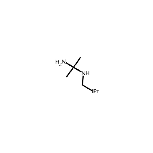 CC(C)CNC(C)(C)N